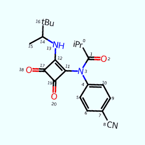 CC(C)C(=O)N(c1ccc(C#N)cc1)c1c(NC(C)C(C)(C)C)c(=O)c1=O